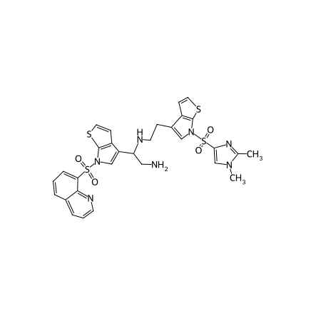 Cc1nc(S(=O)(=O)n2cc(CCNC(CN)c3cn(S(=O)(=O)c4cccc5cccnc45)c4sccc34)c3ccsc32)cn1C